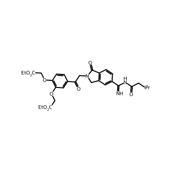 CCOC(=O)COc1ccc(C(=O)CN2Cc3cc(C(=N)NC(=O)CC(C)C)ccc3C2=O)cc1OCC(=O)OCC